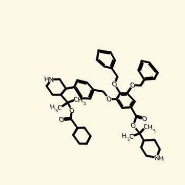 CC(C)(OC(=O)c1cc(OCc2ccccc2)c(OCc2ccccc2)c(OCc2ccc(C3CNCCC3C(C)(C)OC(=O)C3CCCCC3)cc2)c1)C1CCNCC1